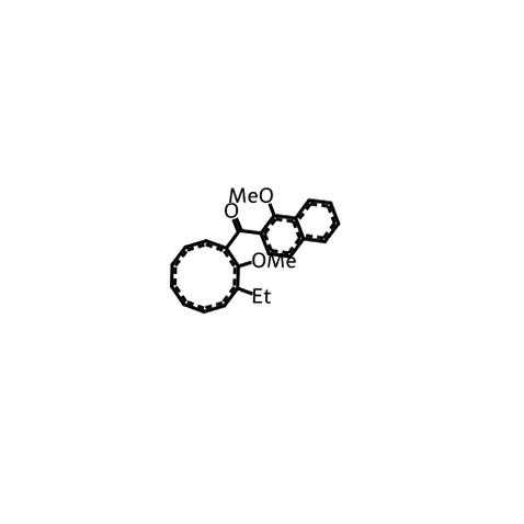 CCc1cccccccc(C(=O)c2ccc3ccccc3c2OC)c1OC